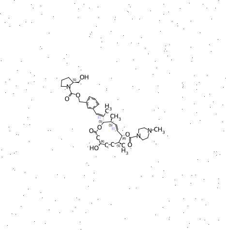 C/C(=C\c1cccc(COC(=O)N2CCC[C@H]2CO)c1)[C@H]1OC(=O)C[C@H](O)CC[C@H](C)[C@@H](OC(=O)N2CCN(C)CC2)/C=C/[C@@H]1C